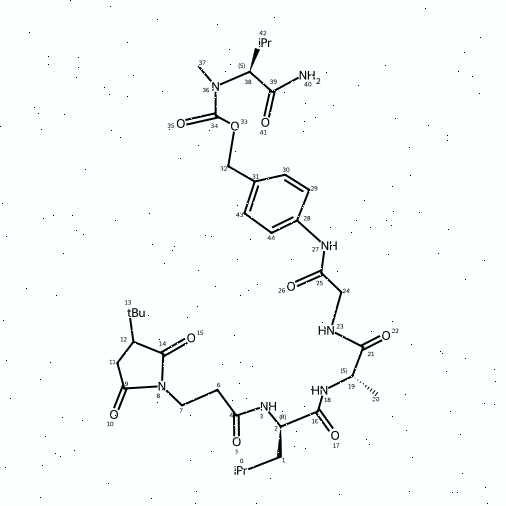 CC(C)C[C@@H](NC(=O)CCN1C(=O)CC(C(C)(C)C)C1=O)C(=O)N[C@@H](C)C(=O)NCC(=O)Nc1ccc(COC(=O)N(C)[C@H](C(N)=O)C(C)C)cc1